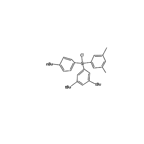 CCCCc1ccc([Si](Cl)(c2cc(C)cc(C)c2)c2cc(C(C)(C)C)cc(C(C)(C)C)c2)cc1